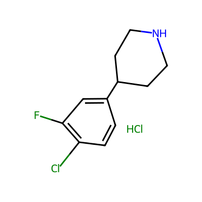 Cl.Fc1cc(C2CCNCC2)ccc1Cl